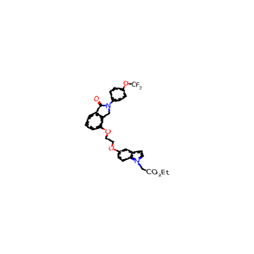 CCOC(=O)Cn1ccc2cc(OCCOc3cccc4c3CN(c3ccc(OC(F)(F)F)cc3)C4=O)ccc21